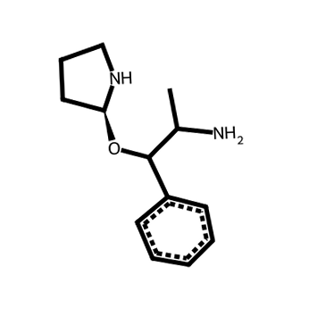 CC(N)C(O[C@H]1CCCN1)c1ccccc1